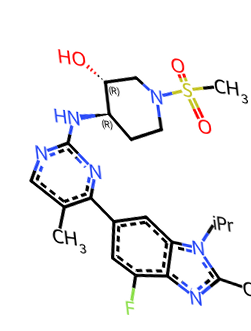 Cc1cnc(N[C@@H]2CCN(S(C)(=O)=O)C[C@H]2O)nc1-c1cc(F)c2nc(C)n(C(C)C)c2c1